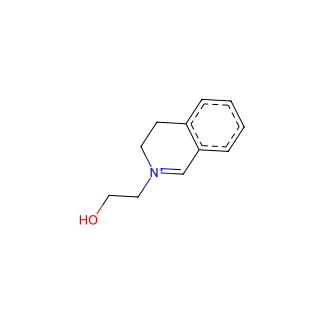 OCC[N+]1=Cc2ccccc2CC1